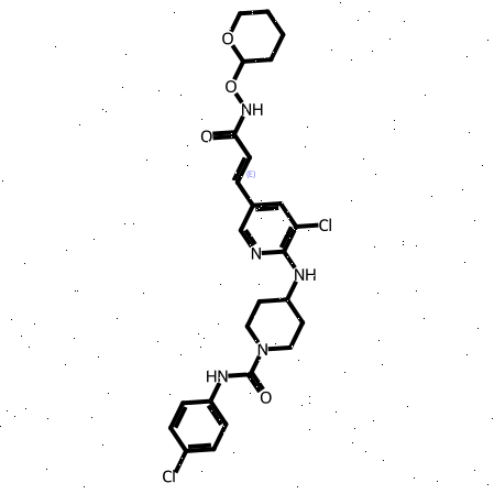 O=C(/C=C/c1cnc(NC2CCN(C(=O)Nc3ccc(Cl)cc3)CC2)c(Cl)c1)NOC1CCCCO1